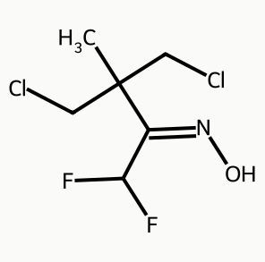 CC(CCl)(CCl)C(=NO)C(F)F